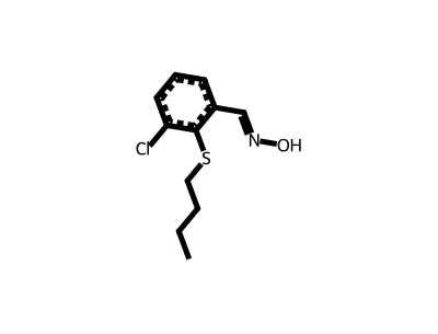 CCCCSc1c(Cl)cccc1/C=N/O